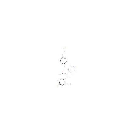 C=C(OCc1ccc(OCCF)cc1)N(Cc1ccc(F)cc1C)C1CCNCC1